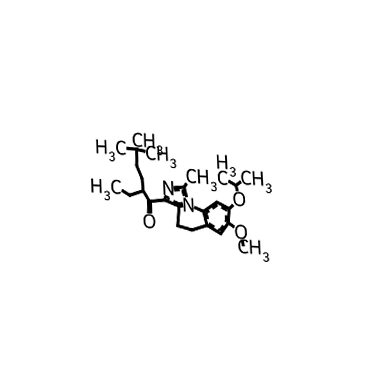 CCC(CCC(C)(C)C)C(=O)c1nc(C)n2c1CCc1cc(OC)c(OC(C)C)cc1-2